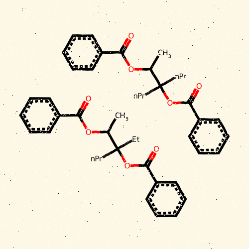 CCCC(CC)(OC(=O)c1ccccc1)C(C)OC(=O)c1ccccc1.CCCC(CCC)(OC(=O)c1ccccc1)C(C)OC(=O)c1ccccc1